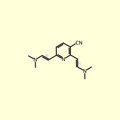 CN(C)/C=C/c1ccc(C#N)c(/C=C/N(C)C)n1